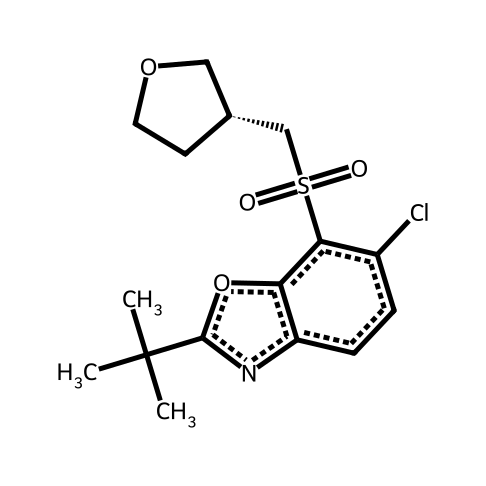 CC(C)(C)c1nc2ccc(Cl)c(S(=O)(=O)C[C@@H]3CCOC3)c2o1